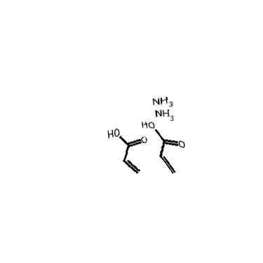 C=CC(=O)O.C=CC(=O)O.N.N